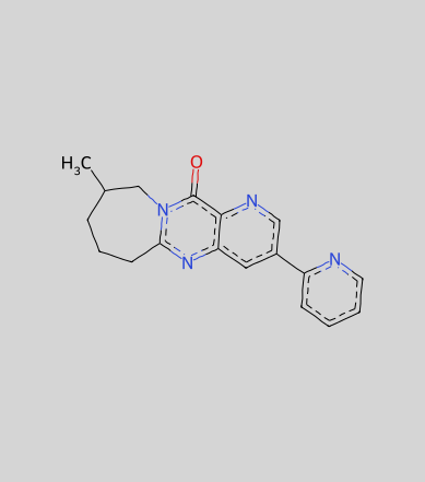 CC1CCCc2nc3cc(-c4ccccn4)cnc3c(=O)n2C1